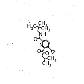 CC(C)CS(=O)(=O)c1nc(C(=O)NCC(C)(C)C)ccc1C1CC1